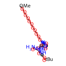 COCCOCCOCCOCCOCCOCCOCCOCCOCCOCCOCCOCCn1cc([C@@H](CC(=O)N[C@H](C(=O)N[C@@H](CCCNC(N)=O)C(=O)Nc2ccc(COC(=O)C(C)(C)C)cc2)C(C)C)N2C(=O)C=CC2=O)nn1